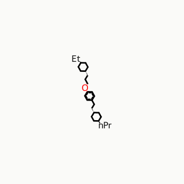 CCC[C@H]1CC[C@H](CCc2ccc(OCCC[C@H]3CC[C@H](CC)CC3)cc2)CC1